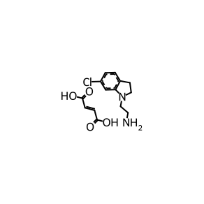 NCCN1CCc2ccc(Cl)cc21.O=C(O)C=CC(=O)O